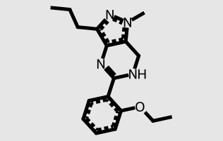 CCCc1nn(C)c2c1N=C(c1ccccc1OCC)NC2